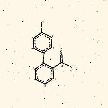 Cc1ccc(-c2ccccc2C(N)=S)cc1